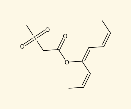 C\C=C/C=C(\C=C/C)OC(=O)CS(C)(=O)=O